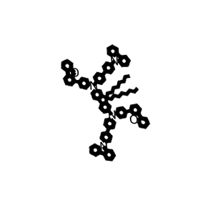 CCCCCCCCC1(CCCCCCCC)c2cc(N(c3ccc(-c4ccc(-n5c6ccccc6c6ccccc65)cc4)cc3)c3ccc(-c4cccc5c4oc4ccccc45)cc3)ccc2-c2ccc(N(c3ccc(-c4ccc(-n5c6ccccc6c6ccccc65)cc4)cc3)c3ccc(-c4cccc5c4oc4ccccc45)cc3)cc21